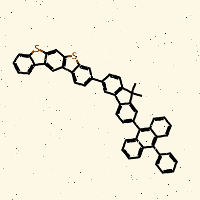 CC1(C)c2ccc(-c3ccc4c(c3)sc3cc5sc6ccccc6c5cc34)cc2-c2ccc(-c3c4ccccc4c(-c4ccccc4)c4ccccc34)cc21